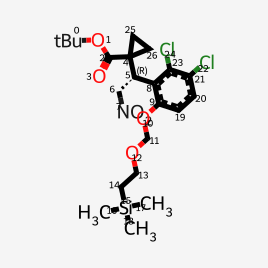 CC(C)(C)OC(=O)C1([C@@H](C[N+](=O)[O-])c2c(OCOCC[Si](C)(C)C)ccc(Cl)c2Cl)CC1